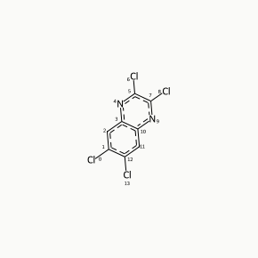 Clc1cc2nc(Cl)c(Cl)nc2cc1Cl